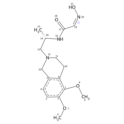 COc1ccc2c(c1OC)CCN(C[C@H](C)NC(=O)/C=N\O)C2